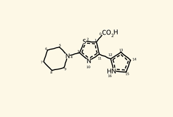 O=C(O)c1sc(N2CCCCC2)nc1-c1ccc[nH]1